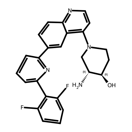 N[C@@H]1CN(c2ccnc3ccc(-c4cccc(-c5c(F)cccc5F)n4)cc23)CC[C@H]1O